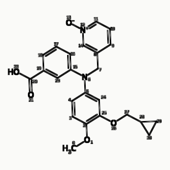 COc1ccc(N(Cc2ccc[n+]([O-])c2)c2cccc(C(=O)O)c2)cc1OCC1CC1